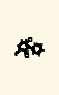 Fc1ccc(Cl)c(-c2ccccn2)c1Cl